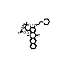 Cn1c2cc3ccccc3cc2c(=O)c2cc(NCCN3CCCCC3)c3c(c21)[C@@H]1OC(=O)O[C@@H]1C(C)(C)O3